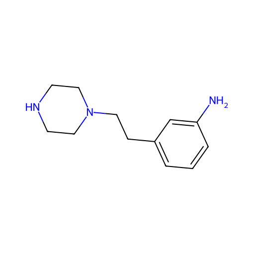 Nc1cccc(CCN2CCNCC2)c1